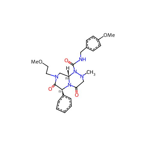 COCCN1C[C@H]2N(C(=O)CN(C)N2C(=O)NCc2ccc(OC)cc2)[C@@H](c2ccccc2)C1=O